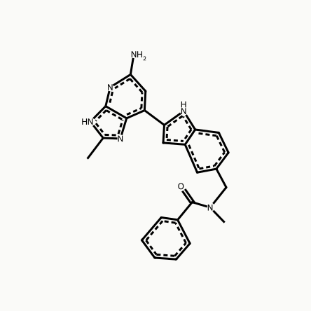 Cc1nc2c(-c3cc4cc(CN(C)C(=O)c5ccccc5)ccc4[nH]3)cc(N)nc2[nH]1